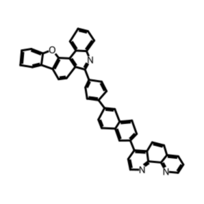 c1cnc2c(c1)ccc1c(-c3ccc4cc(-c5ccc(-c6nc7ccccc7c7c6ccc6c8ccccc8oc67)cc5)ccc4c3)ccnc12